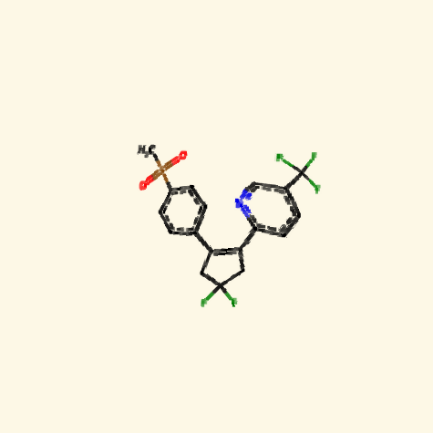 CS(=O)(=O)c1ccc(C2=C(c3ccc(C(F)(F)F)cn3)CC(F)(F)C2)cc1